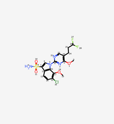 COc1nc(-n2cc(S(N)(=O)=O)c3ccc(Cl)c(OC)c32)ncc1CCC(F)F